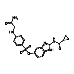 NC(=O)CNc1ccc(S(=O)(=O)Oc2ccc3[nH]c(NC(=O)C4CC4)nc3c2)cc1